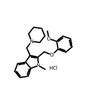 COc1ccccc1OCc1c(CN2CCCCC2)c2ccccc2n1C.Cl